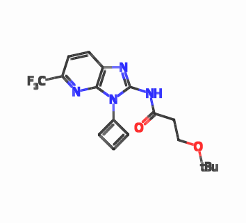 CC(C)(C)OCCC(=O)Nc1nc2ccc(C(F)(F)F)nc2n1C1=CC=C1